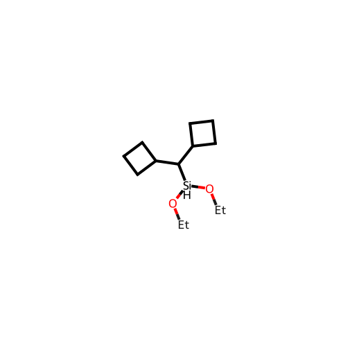 CCO[SiH](OCC)C(C1CCC1)C1CCC1